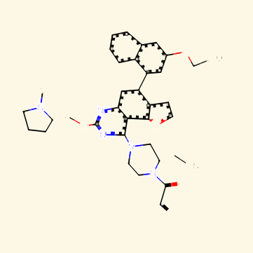 C=CC(=O)N1CCN(c2nc(OC[C@@H]3CCCN3C)nc3cc(-c4cc(OCOC)cc5ccccc45)c4ccoc4c23)C[C@@H]1CC#N